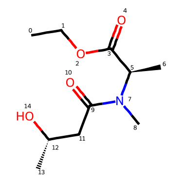 CCOC(=O)[C@@H](C)N(C)C(=O)C[C@H](C)O